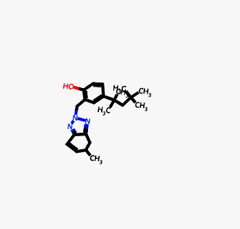 CC1C=Cc2nn(Cc3cc(C(C)(C)CC(C)(C)C)ccc3O)nc2C1